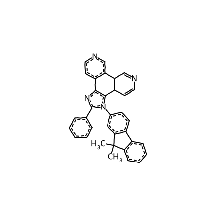 CC1(C)c2ccccc2-c2ccc(-n3c(-c4ccccc4)nc4c3C3C=CN=CC3c3cnccc3-4)cc21